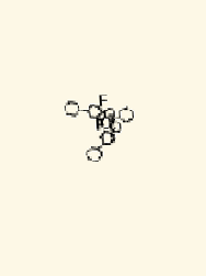 O=P(Oc1ccc(C2CCCCC2)cc1F)(Oc1ccc(C2CCCCC2)cc1F)C1CCCCC1